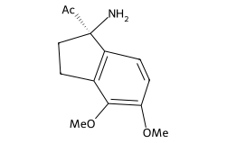 COc1ccc2c(c1OC)CC[C@]2(N)C(C)=O